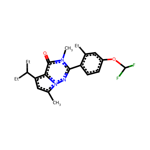 CCc1cc(OC(F)F)ccc1-c1nn2c(C)cc(C(CC)CC)c2c(=O)n1C